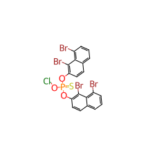 S=P(OCl)(Oc1ccc2cccc(Br)c2c1Br)Oc1ccc2cccc(Br)c2c1Br